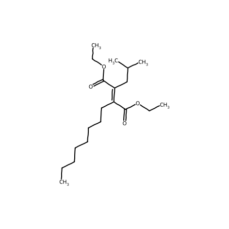 CCCCCCCCC(C(=O)OCC)=C(CC(C)C)C(=O)OCC